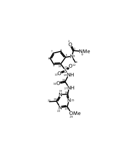 CNC(=O)N(C)c1ccccc1S(=O)(=O)NC(=O)Nc1nc(C)nc(OC)n1